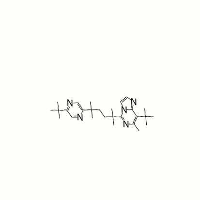 Cc1nc(C(C)(C)CCC(C)(C)c2cnc(C(C)(C)C)cn2)n2ccnc2c1C(C)(C)C